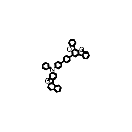 c1ccc(N(c2ccc(-c3ccc(-c4cc5c6ccccc6oc5c5c4oc4ccccc45)cc3)cc2)c2ccc3c(c2)oc2ccc4ccccc4c23)cc1